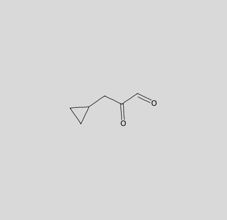 O=CC(=O)CC1CC1